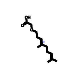 CC(C)=CCC/C(C)=C/CCOCC(=O)O